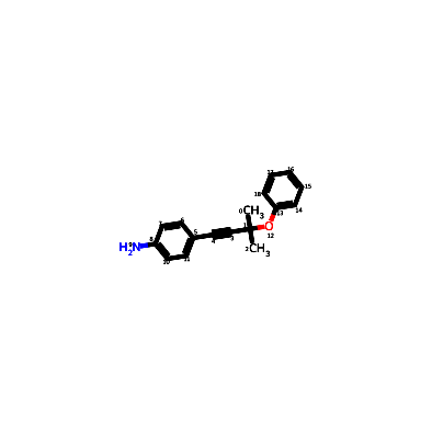 CC(C)(C#Cc1ccc(N)cc1)Oc1ccccc1